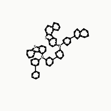 c1ccc(-c2cccc(N(c3cccc(-c4cccc(N(c5ccc(-c6ccc7ccccc7c6)cc5)c5ccc6sc7ccc8ccccc8c7c6c5)c4)c3)c3cccc4sc5ccccc5c34)c2)cc1